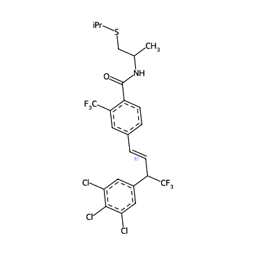 CC(CSC(C)C)NC(=O)c1ccc(/C=C/C(c2cc(Cl)c(Cl)c(Cl)c2)C(F)(F)F)cc1C(F)(F)F